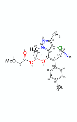 COCC(=O)OC(C)O/C(=C(\c1ccc(C(C)(C)C)cc1)C1C=N1)c1c(Cl)c(C)nn1C